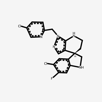 Fc1cc2c(cc1Cl)[C@@]1(CCNc3c1cnn3Cc1ccc(Cl)cn1)CN2